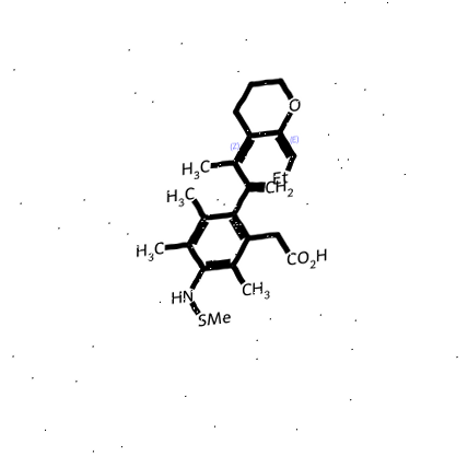 C=C(/C(C)=C1/CCCO/C1=C/CC)c1c(C)c(C)c(NSC)c(C)c1CC(=O)O